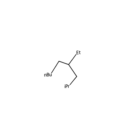 [CH2]CC(CCCCC)CC(C)C